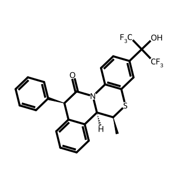 C[C@@H]1Sc2cc(C(O)(C(F)(F)F)C(F)(F)F)ccc2N2C(=O)[C@H](c3ccccc3)c3ccccc3[C@H]12